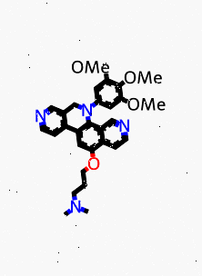 COc1cc(N2Cc3cnccc3-c3cc(OCCCN(C)C)c4ccncc4c32)cc(OC)c1OC